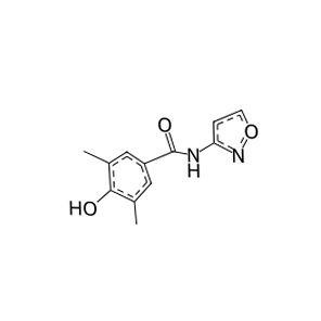 Cc1cc(C(=O)Nc2ccon2)cc(C)c1O